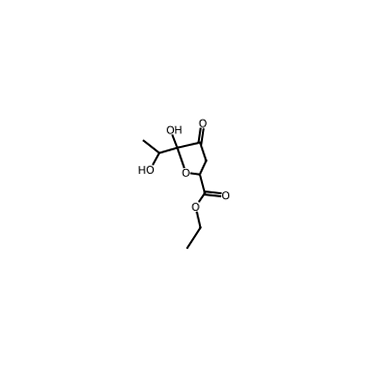 CCOC(=O)C1CC(=O)C(O)(C(C)O)O1